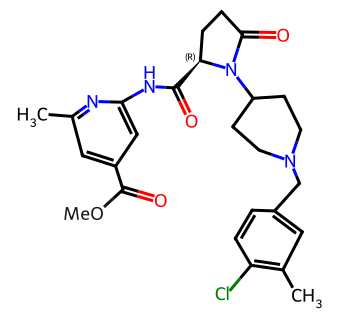 COC(=O)c1cc(C)nc(NC(=O)[C@H]2CCC(=O)N2C2CCN(Cc3ccc(Cl)c(C)c3)CC2)c1